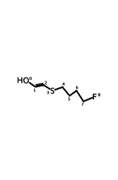 OC=CSCCCCF